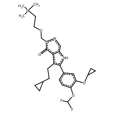 C[Si](C)(C)CCOCn1ncc2[nH]c(-c3ccc(OC(F)F)c(OC4CC4)c3)c(CCC3CC3)c2c1=O